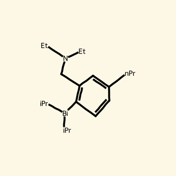 CCCc1cc[c]([Bi]([CH](C)C)[CH](C)C)c(CN(CC)CC)c1